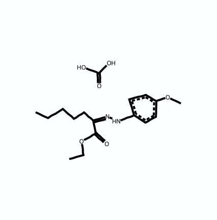 CCCCCC(=NNc1ccc(OC)cc1)C(=O)OCC.O=C(O)O